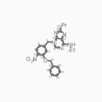 CCNc1ncn(Cc2ccc([N+](=O)[O-])c(OCc3ccccc3)c2)c2nc(C(C)C)nc1-2